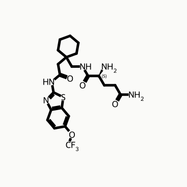 NC(=O)CC[C@H](N)C(=O)NCC1(CC(=O)Nc2nc3ccc(OC(F)(F)F)cc3s2)CCCCC1